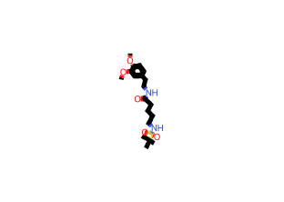 COc1ccc(CCNC(=O)CCCCNS(=O)(=O)C(C)(C)C)cc1OC